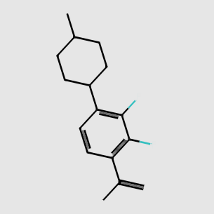 C=C(C)c1ccc(C2CCC(C)CC2)c(F)c1F